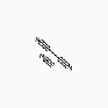 C#N.N#CC#N